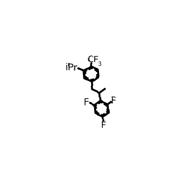 CC(C)c1cc(CC(C)c2c(F)cc(F)cc2F)ccc1C(F)(F)F